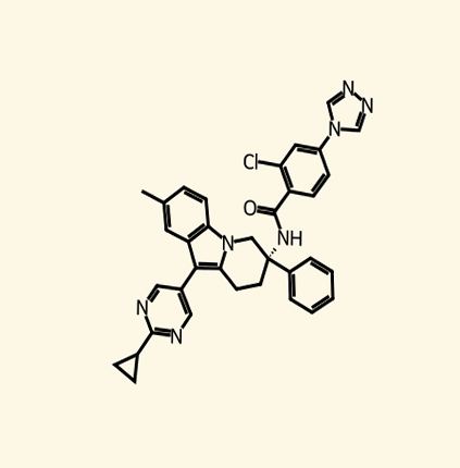 Cc1ccc2c(c1)c(-c1cnc(C3CC3)nc1)c1n2C[C@@](NC(=O)c2ccc(-n3cnnc3)cc2Cl)(c2ccccc2)CC1